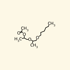 CCCCCCOCC(C)OCC(C)OC(C)=O